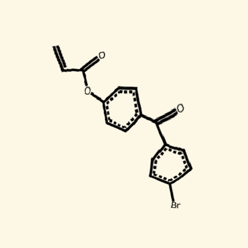 C=CC(=O)Oc1ccc(C(=O)c2ccc(Br)cc2)cc1